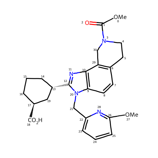 COC(=O)N1CCc2ccc3c(nc([C@H]4CCC[C@H](C(=O)O)C4)n3Cc3cccc(OC)n3)c2C1